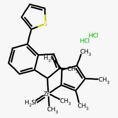 CC1=Cc2c(-c3cccs3)cccc2[CH]1[Zr]([CH3])([CH3])(=[SiH2])[C]1=C(C)C(C)=C(C)C1C.Cl.Cl